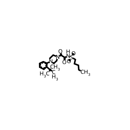 CCCCCS(=O)(=O)NC(=O)C(=O)N1CCN(c2ccccc2C(C)(C)C)CC1